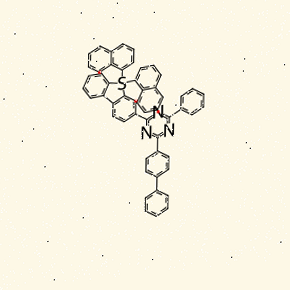 c1ccc(-c2ccc(-c3nc(-c4ccccc4)nc(-c4ccc5c(c4)S(c4cccc6ccccc46)(c4cccc6ccccc46)c4ccccc4-5)n3)cc2)cc1